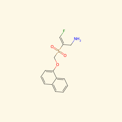 NCC(=CF)S(=O)(=O)COc1cccc2ccccc12